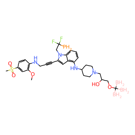 BC(B)(B)OCC(O)CN1CCC(Nc2cccc3c2cc(C#CCNc2ccc(S(C)(=O)=O)cc2OC)n3CC(F)(F)P)CC1